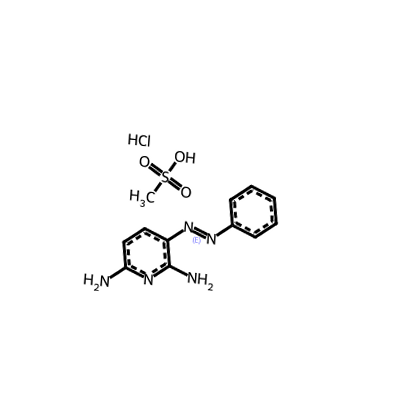 CS(=O)(=O)O.Cl.Nc1ccc(/N=N/c2ccccc2)c(N)n1